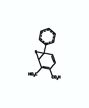 O=C(O)C1=C(C(=O)O)C2SC2(c2ccccc2)C=C1